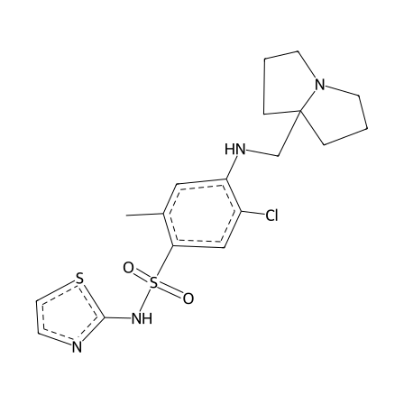 Cc1cc(NCC23CCCN2CCC3)c(Cl)cc1S(=O)(=O)Nc1nccs1